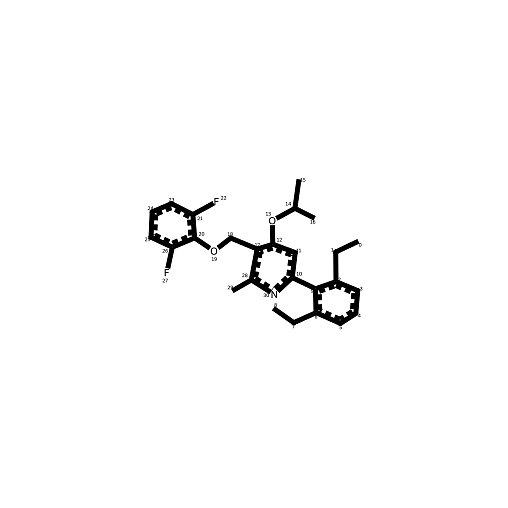 CCc1cccc(CC)c1-c1cc(OC(C)C)c(COc2c(F)cccc2F)c(C)n1